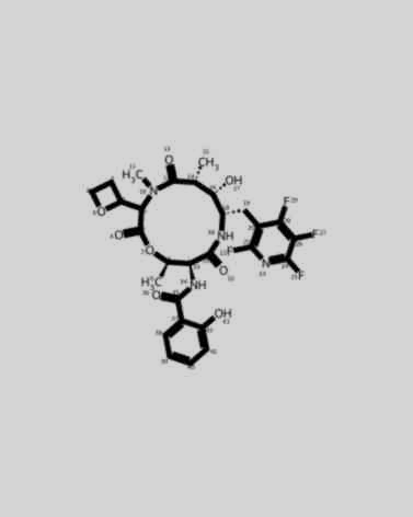 C[C@H]1OC(=O)C(C2CCO2)N(C)C(=O)[C@H](C)[C@H](O)[C@H](Cc2c(F)nc(F)c(F)c2F)NC(=O)[C@H]1NC(=O)c1ccccc1O